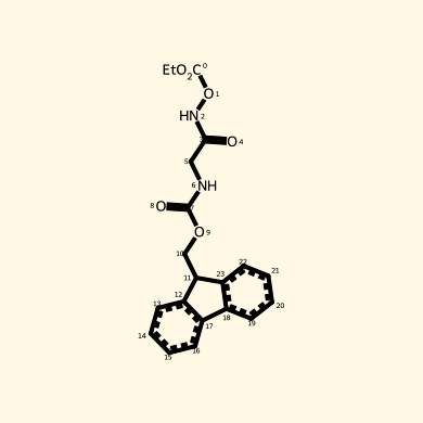 CCOC(=O)ONC(=O)CNC(=O)OCC1c2ccccc2-c2ccccc21